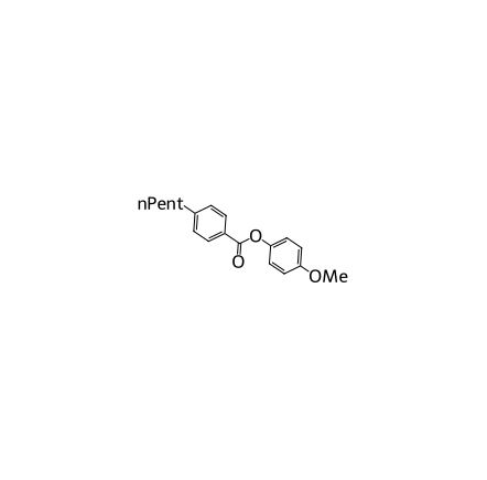 CCCCCc1ccc(C(=O)Oc2ccc(OC)cc2)cc1